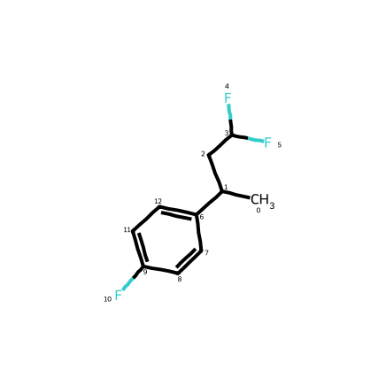 CC(CC(F)F)c1ccc(F)cc1